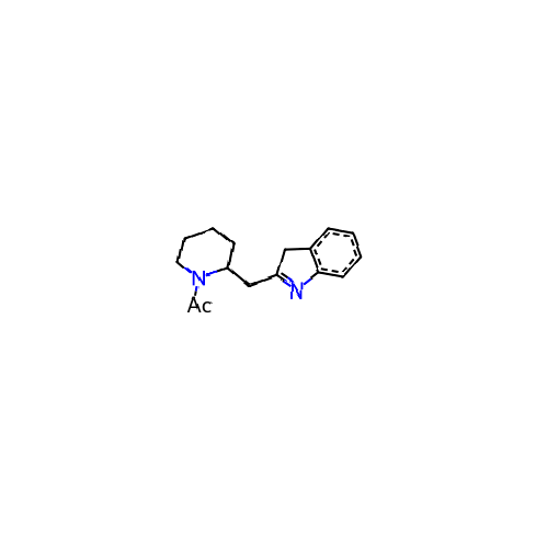 CC(=O)N1CCCCC1CC1=Nc2ccccc2C1